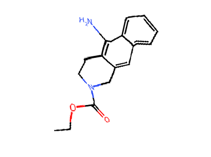 CCOC(=O)N1CCc2c(cc3ccccc3c2N)C1